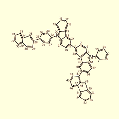 c1ccc(-n2c3ccc(-c4ccc5c(c4)c4ccccc4n5-c4ccc(-c5ccc6ccccc6c5)cc4)cc3c3cc(-c4cccc5c4Cc4ccccc4-5)ccc32)cc1